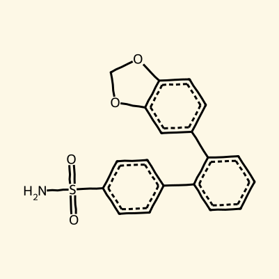 NS(=O)(=O)c1ccc(-c2ccccc2-c2ccc3c(c2)OCO3)cc1